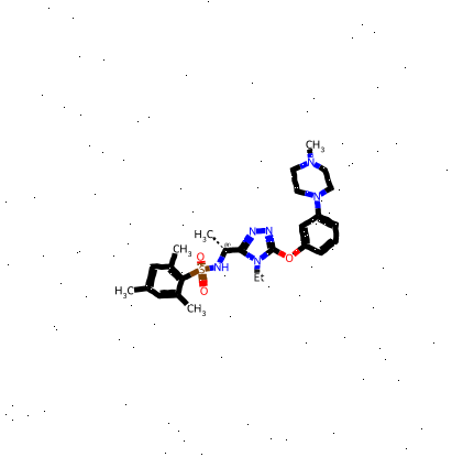 CCn1c(Oc2cccc(N3CCN(C)CC3)c2)nnc1[C@@H](C)NS(=O)(=O)c1c(C)cc(C)cc1C